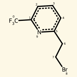 FC(F)(F)c1cccc(CCBr)n1